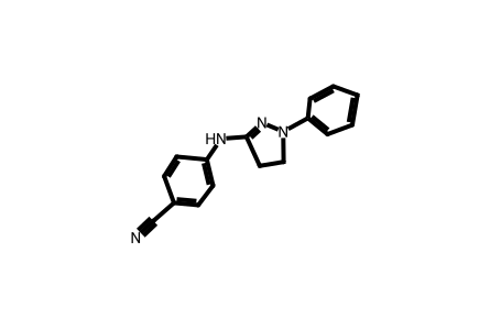 N#Cc1ccc(NC2=NN(c3ccccc3)CC2)cc1